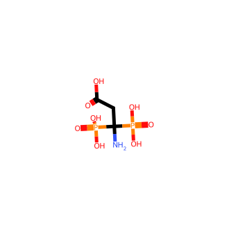 NC(CC(=O)O)(P(=O)(O)O)P(=O)(O)O